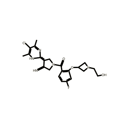 CC1=N/C(=C2\CN(C(=O)c3ccc(F)cc3OC3CN(CCO)C3)CC2=N)NC(C)=C1Cl